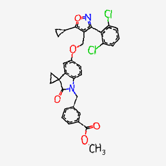 COC(=O)c1cccc(CN2C(=O)C3(CC3)c3cc(OCc4c(-c5c(Cl)cccc5Cl)noc4C4CC4)ccc32)c1